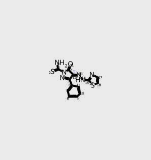 NC(=S)N1N=C(c2ccccc2)/C(=N\Nc2nccs2)C1=O